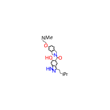 CNCCOc1ccc2c(c1)CN(C(=O)c1cc3c(CCC(C)C)n[nH]c3cc1O)C2